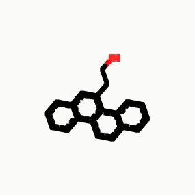 OCCc1cc2ccccc2c2ccc3ccccc3c12